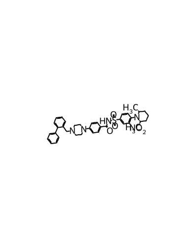 CC1CCCC(C)N1c1ccc(S(=O)(=O)NC(=O)c2ccc(N3CCN(Cc4ccccc4-c4ccccc4)CC3)cc2)cc1[N+](=O)[O-]